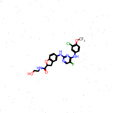 O=C(NCCO)C1Cc2cc(Nc3ncc(F)c(Nc4ccc(OC(F)(F)F)c(Cl)c4)n3)ccc2O1